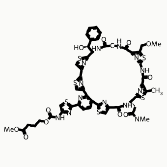 CNC(=O)C[C@@H]1NC(=O)c2csc(n2)-c2ccc(-c3nc(NC(=O)OCCCC(=O)OC)cs3)nc2-c2csc(n2)-c2csc(n2)[C@H]([C@@H](O)c2ccccc2)NC(=O)CNC(=O)c2nc(sc2COC)NC(=O)c2nc1sc2C